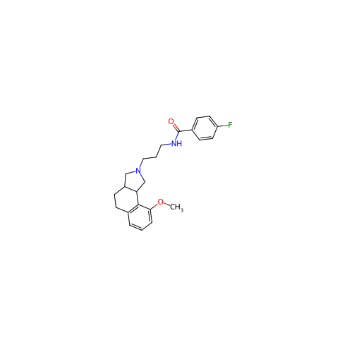 COc1cccc2c1C1CN(CCCNC(=O)c3ccc(F)cc3)CC1CC2